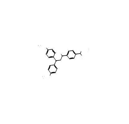 CCC(C(=O)O)c1ccc(C(CC(c2ccc(SC)cc2)c2ccc(SC)cc2)C(=O)O)cc1